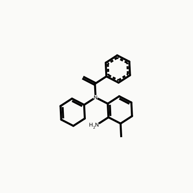 C=C(c1ccccc1)N(C1=CC=CCC1)C1=C(N)C(C)CC=C1